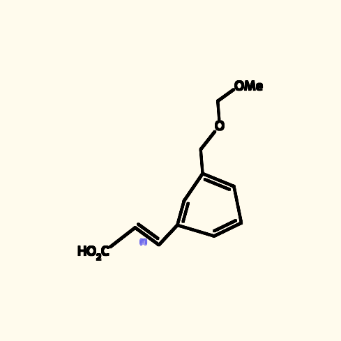 COCOCc1cccc(/C=C/C(=O)O)c1